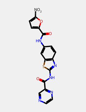 O=C(Nc1nc2ccc(NC(=O)c3ccc([N+](=O)[O-])o3)cc2s1)c1cnccn1